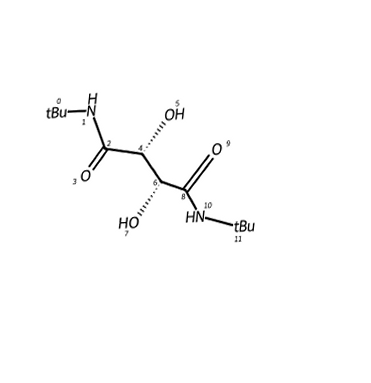 CC(C)(C)NC(=O)[C@H](O)[C@@H](O)C(=O)NC(C)(C)C